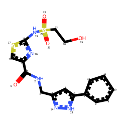 O=C(NCc1cc(-c2ccccc2)[nH]n1)c1csc(NS(=O)(=O)CCO)n1